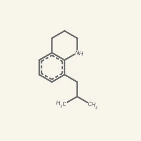 C[C](C)Cc1cccc2c1NCCC2